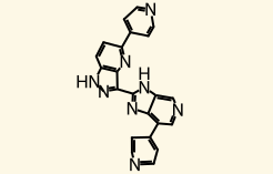 c1cc(-c2ccc3[nH]nc(-c4nc5c(-c6ccncc6)cncc5[nH]4)c3n2)ccn1